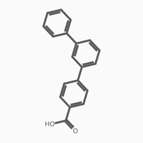 O=C(O)c1ccc(-c2cccc(-c3ccccc3)c2)cc1